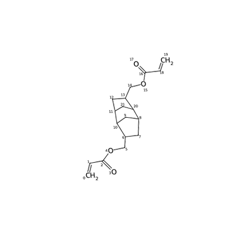 C=CC(=O)OCC1CC2CC1C1CC(COC(=O)C=C)C2C1